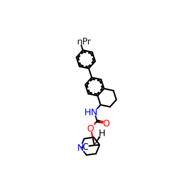 CCCc1ccc(-c2ccc3c(c2)CCCC3NC(=O)O[C@H]2CN3CCC2CC3)cc1